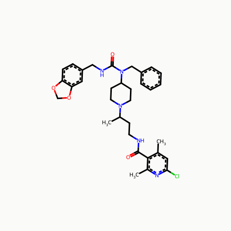 Cc1cc(Cl)nc(C)c1C(=O)NCCC(C)N1CCC(N(Cc2ccccc2)C(=O)NCc2ccc3c(c2)OCO3)CC1